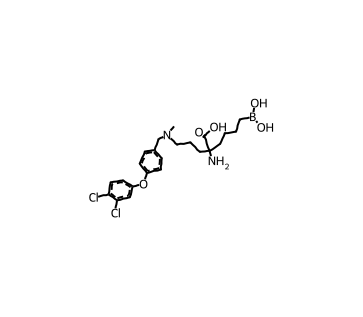 CN(CCCC(N)(CCCCB(O)O)C(=O)O)Cc1ccc(Oc2ccc(Cl)c(Cl)c2)cc1